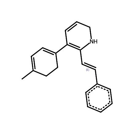 CC1=CC=C(C2=C(/C=C/c3ccccc3)NCC=C2)CC1